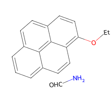 CCOc1ccc2ccc3cccc4ccc1c2c34.NC=O